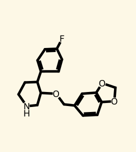 Fc1ccc(C2CCNCC2OCc2ccc3c(c2)OCO3)cc1